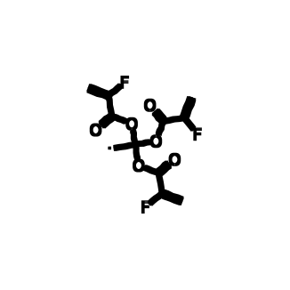 [CH2]C(OC(=O)C(=C)F)(OC(=O)C(=C)F)OC(=O)C(=C)F